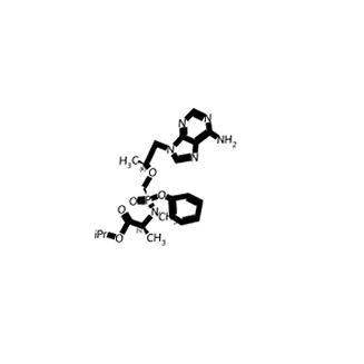 CC(C)OC(=O)[C@H](C)N(C)[P@](=O)(CO[C@H](C)Cn1cnc2c(N)ncnc21)Oc1ccccc1